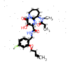 C=CCCOc1cc(F)ccc1CNC(=O)c1nc2n(c(=O)c1O)CCCCC2N(C)C(=O)C=C